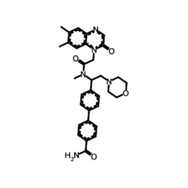 Cc1cc2ncc(=O)n(CC(=O)N(C)C(CN3CCOCC3)c3ccc(-c4ccc(C(N)=O)cc4)cc3)c2cc1C